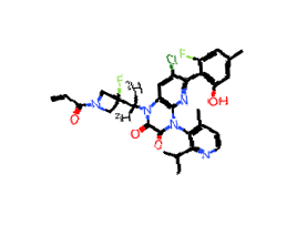 [2H]C([2H])(n1c(=O)c(=O)n(-c2c(C)ccnc2C(C)C)c2nc(-c3c(O)cc(C)cc3F)c(Cl)cc21)C1(F)CN(C(=O)C=C)C1